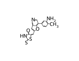 Cc1ccc(-c2cncc3cc(C=C4SC(=S)NC4=O)oc23)cc1N